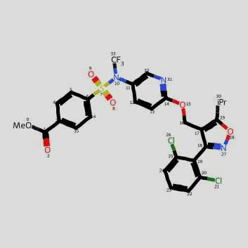 COC(=O)c1ccc(S(=O)(=O)N(c2ccc(OCc3c(-c4c(Cl)cccc4Cl)noc3C(C)C)nc2)C(F)(F)F)cc1